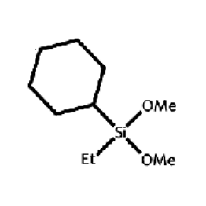 CC[Si](OC)(OC)C1CC[CH]CC1